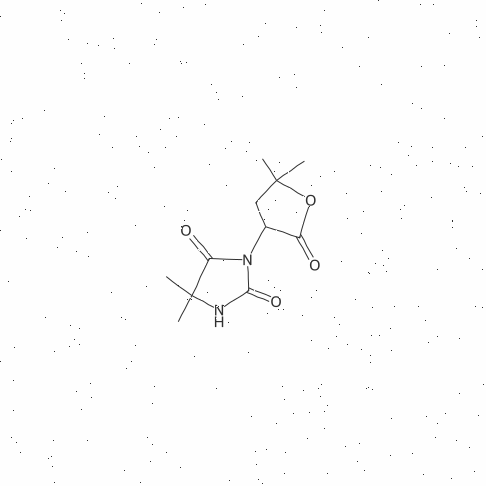 CC1(C)CC(N2C(=O)NC(C)(C)C2=O)C(=O)O1